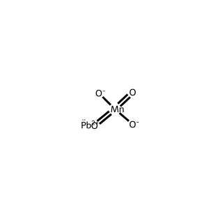 [O]=[Mn](=[O])([O-])[O-].[Pb+2]